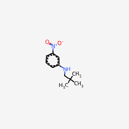 CC(C)(C)CNc1cccc([N+](=O)[O-])c1